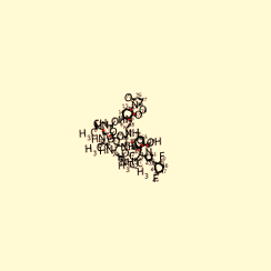 CC(C)[C@H](NC(=O)OCc1ccccc1)C(=O)N[C@@H](C)C(=O)N[C@@H](CC(N)=O)C(=O)N[C@@H](CCN(C(=O)CO)[C@@H](c1cc(-c2cc(F)ccc2F)cn1Cc1ccccc1)C(C)(C)C)C(=O)NCCNC(=O)CN1C(=O)C=CC1=O